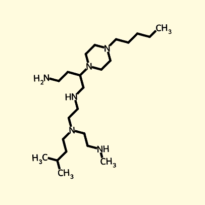 CCCCCN1CCN(C(CCN)CNCCN(CCNC)CCC(C)C)CC1